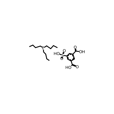 CCCCP(CCCC)CCCC.O=C(O)c1cc(C(=O)O)cc(S(=O)(=O)O)c1